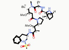 CC[C@H](C)[C@@H]([C@@H](CC(=O)N1CCC[C@H]1[C@H](OC)[C@@H](C)C(=O)N[C@H](CNS(C)(=O)=O)Cc1ccccc1)OC)N(C)C(=O)[C@@H](NC(=O)[C@H]1N[C@@H]2CC[C@H]1C2)C(C)C